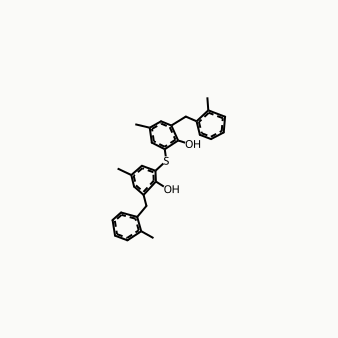 Cc1cc(Cc2ccccc2C)c(O)c(Sc2cc(C)cc(Cc3ccccc3C)c2O)c1